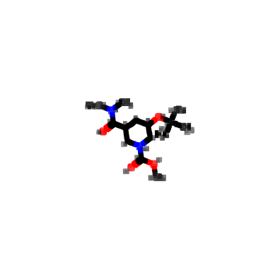 CON(C)C(=O)C1CC(O[Si](C)(C)C(C)(C)C)CN(C(=O)OC(C)(C)C)C1